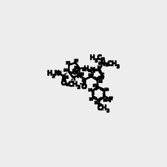 [CH2][C@H]1N(C(=O)c2nc(N(C)C)sc2-c2ccc(C)c(F)c2)[C@H]2CC[C@@]1(C(N)=O)C2